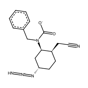 N#CC[C@H]1CC[C@H](N=[N+]=N)C[C@H]1N(Cc1ccccc1)C(=O)[O-]